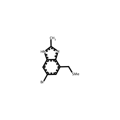 CSCc1cc(Br)cc2[nH]c(C)nc12